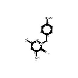 COc1ccc(Cn2nc(Cl)cc(O)c2=O)cc1